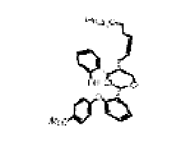 COc1ccc(Oc2ccccc2[C@H]2OC[C@@H](C/C=C\CCC(=O)O)[C@@H](c3ccccc3O)O2)cc1